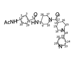 CC(=O)Nc1ccc(C(=O)NC2CCN(C(=O)C3CCN(Cc4ccncc4)CC3)CC2)cc1